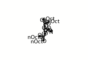 CCCCCCCCC(=O)OCC(COC(=O)CCCCCCCC)CC(=O)O[C@@H]1C=C[C@H](OC(=O)CC(COC(=O)CCCCCCCC)COC(=O)CCCCCCCC)CN(C(=O)n2ccnc2)C1